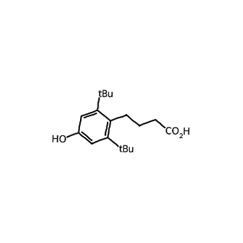 CC(C)(C)c1cc(O)cc(C(C)(C)C)c1CCCC(=O)O